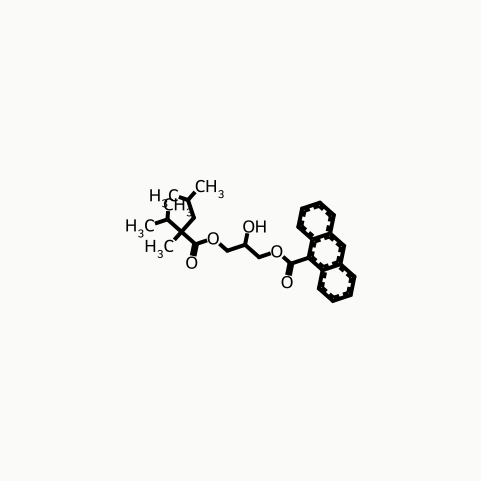 CC(C)CC(C)(C(=O)OCC(O)COC(=O)c1c2ccccc2cc2ccccc12)C(C)C